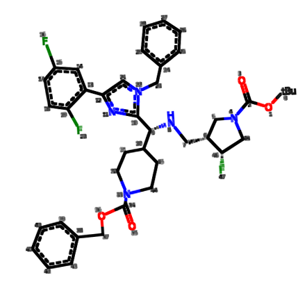 CC(C)(C)OC(=O)N1C[C@@H](CN[C@@H](c2nc(-c3cc(F)ccc3F)cn2Cc2ccccc2)C2CCN(C(=O)OCc3ccccc3)CC2)[C@@H](F)C1